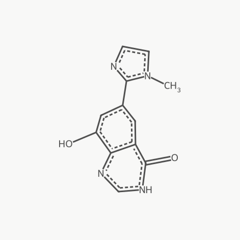 Cn1ccnc1-c1cc(O)c2nc[nH]c(=O)c2c1